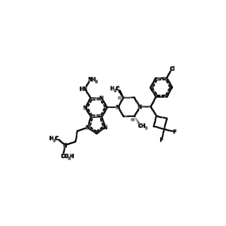 C[C@@H]1CN(c2nc(NN)nc3c2ncn3CCN(C)C(=O)O)[C@@H](C)CN1C(c1ccc(Cl)cc1)C1CC(F)(F)C1